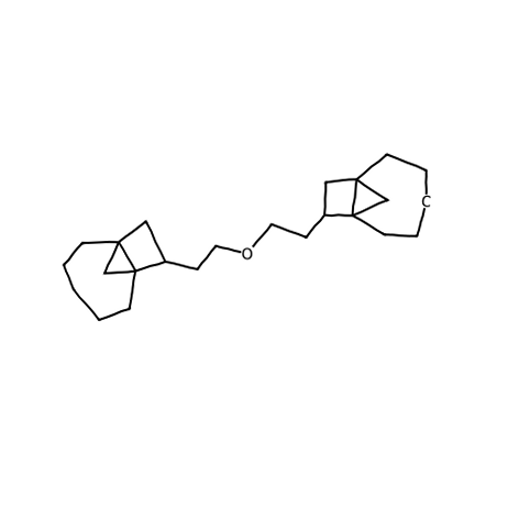 C1CCC23CC(CCOCCC4CC56CCCCCC45C6)C2(CC1)C3